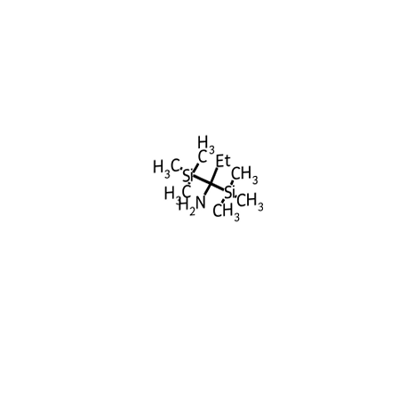 CCC(N)([Si](C)(C)C)[Si](C)(C)C